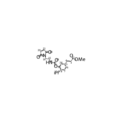 COC(=O)/C=C/c1ccc(C(C)C)c(OC(=O)NCCN2C(=O)C=CC2=O)c1